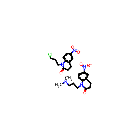 CN(C)CCCN1C(=O)CCc2cc([N+](=O)[O-])ccc21.O=C1CCc2cc([N+](=O)[O-])ccc2N1CCCCl